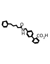 O=C(CCCCc1ccccc1)NCc1ccc(-c2ccccc2C(=O)O)cc1